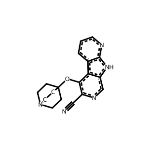 N#Cc1ncc2[nH]c3ncccc3c2c1OC12CCN(CC1)CC2